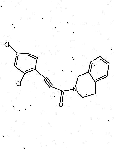 O=C(C#Cc1ccc(Cl)cc1Cl)N1CCc2ccccc2C1